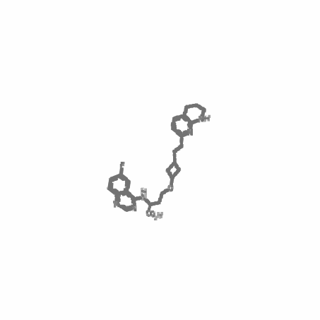 O=C(O)[C@H](CCOC1CC(CCc2ccc3c(n2)NCCC3)C1)Nc1ncnc2ccc(F)cc12